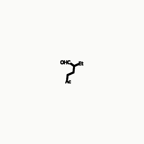 CCC(C=O)CCC(C)=O